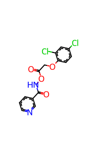 O=C(COc1ccc(Cl)cc1Cl)ONC(=O)c1cccnc1